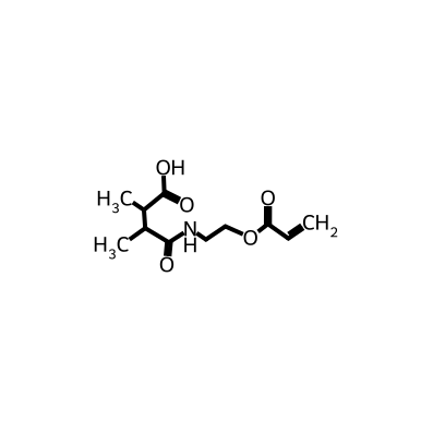 C=CC(=O)OCCNC(=O)C(C)C(C)C(=O)O